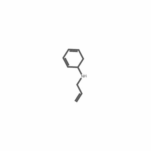 C=CCN[C]1C=CC=CC1